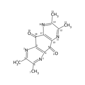 Cc1nc2c(nc1C)C(=O)c1nc(C)c(C)nc1C2=O